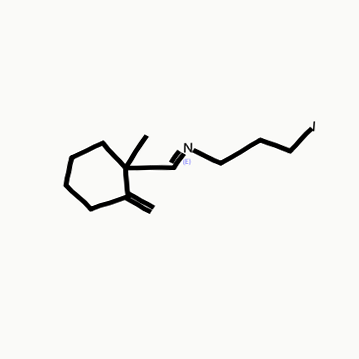 C=C1CCCCC1(C)/C=N/CCCI